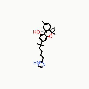 CC1=CC[C@@H]2[C@@H](C1)c1c(O)cc(C(C)(C)CCCCc3ncc[nH]3)cc1OC2(C)C